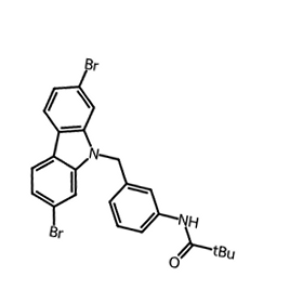 CC(C)(C)C(=O)Nc1cccc(Cn2c3cc(Br)ccc3c3ccc(Br)cc32)c1